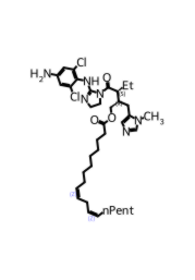 CCCCC/C=C\C/C=C\CCCCCCCC(=O)OC[C@H](Cc1cncn1C)[C@H](CC)C(=O)N1CCN=C1Nc1c(Cl)cc(N)cc1Cl